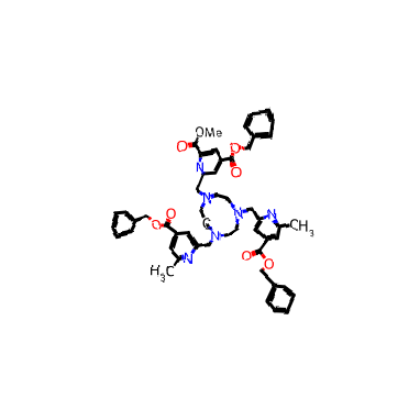 COC(=O)c1cc(C(=O)OCc2ccccc2)cc(CN2CCN(Cc3cc(C(=O)OCc4ccccc4)cc(C)n3)CCN(Cc3cc(C(=O)OCc4ccccc4)cc(C)n3)CC2)n1